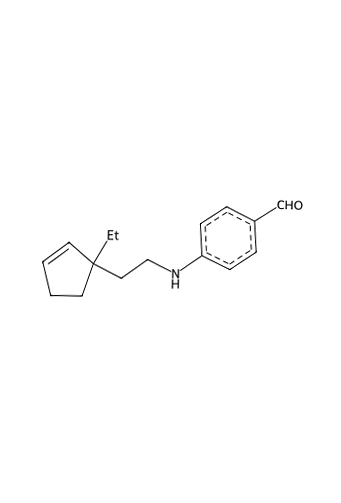 CCC1(CCNc2ccc(C=O)cc2)C=CCC1